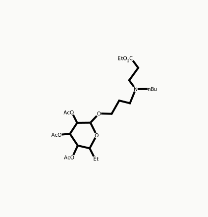 CCCCN(CCCOC1OC(CC)C(OC(C)=O)C(OC(C)=O)C1OC(C)=O)CCC(=O)OCC